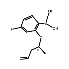 C=CC[C@H](C)Oc1cc(F)ccc1B(O)O